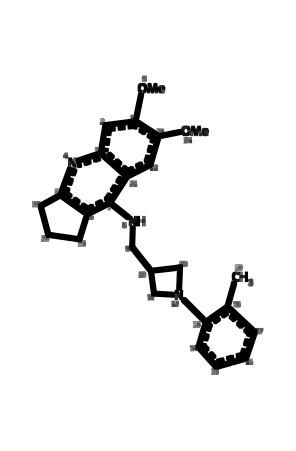 COc1cc2nc3c(c(NCC4CN(c5ccccc5C)C4)c2cc1OC)CCC3